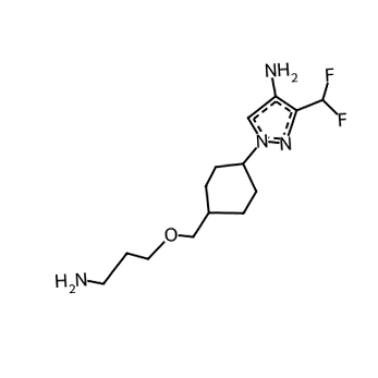 NCCCOCC1CCC(n2cc(N)c(C(F)F)n2)CC1